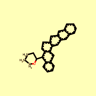 c1ccc2cc3cc4c(ccc5c(C6C[SiH2][SiH2][SiH2]O6)c6ccccc6cc54)cc3cc2c1